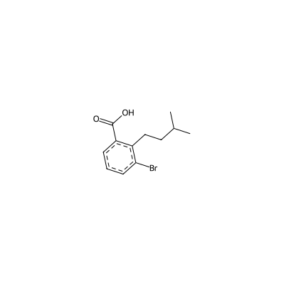 CC(C)CCc1c(Br)cccc1C(=O)O